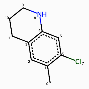 Cc1cc2c(cc1Cl)NCCC2